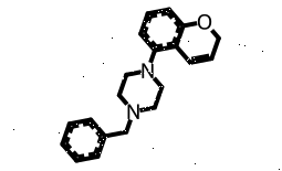 C1=Cc2c(cccc2N2CCN(Cc3ccccc3)CC2)OC1